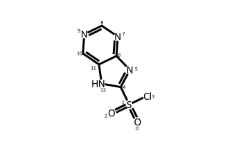 O=S(=O)(Cl)c1nc2ncncc2[nH]1